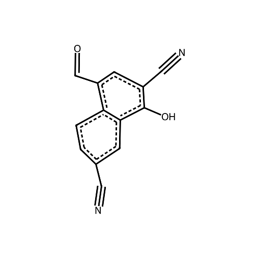 N#Cc1ccc2c(C=O)cc(C#N)c(O)c2c1